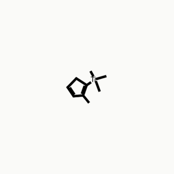 CC1=[C]([Ti]([CH3])([CH3])[CH3])CC=C1